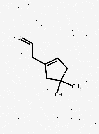 CC1(C)CC=C(CC=O)C1